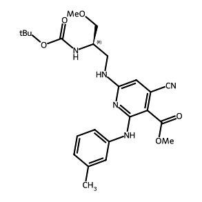 COC[C@@H](CNc1cc(C#N)c(C(=O)OC)c(Nc2cccc(C)c2)n1)NC(=O)OC(C)(C)C